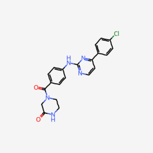 O=C1CN(C(=O)c2ccc(Nc3nccc(-c4ccc(Cl)cc4)n3)cc2)CCN1